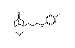 O=C1CC2COCC(CCCOc3ccc(F)cc3)(C1)N2